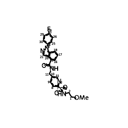 COCCNS(=O)(=O)c1ccc(CNC(=O)c2cccc3c2cnn3-c2ccc(F)cc2)cn1